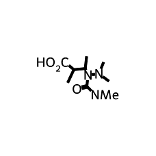 CNC(=O)N(C(C)C(C)C(=O)O)N(C)C